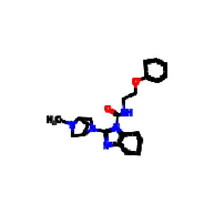 CN1CC2CC1CN2c1nc2ccccc2n1C(=O)NCCOc1ccccc1